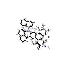 [2H]c1c([2H])c([2H])c(-c2c([2H])c(N(c3cccc4ccccc34)c3cccc4ccccc34)c([2H])c([2H])c2-c2c([2H])c([2H])c(N)c([2H])c2[2H])c([2H])c1[2H]